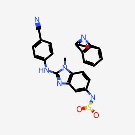 Cn1c(Nc2ccc(C#N)cc2)nc2cc(N=S(=O)=O)ccc21.c1cc2c3nc-2ccc3c1